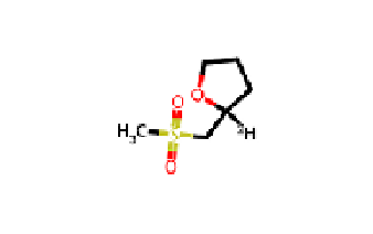 [2H]C1(CS(C)(=O)=O)CCCO1